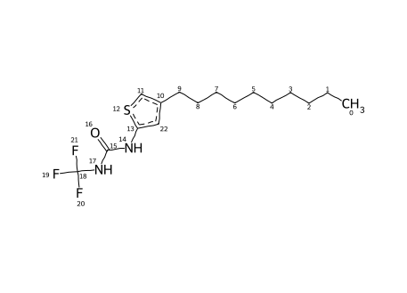 CCCCCCCCCCc1csc(NC(=O)NC(F)(F)F)c1